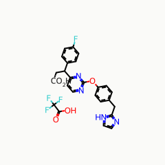 O=C(O)C(F)(F)F.O=C(O)CC(c1ccc(F)cc1)c1ccnc(Oc2ccc(Cc3ncc[nH]3)cc2)n1